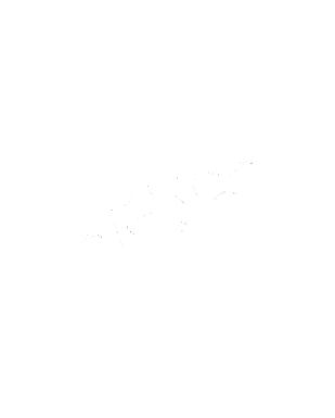 CCn1c(-c2cccc(NS(=O)(=O)NC)c2)c(N)c2ccc(OC)cc21